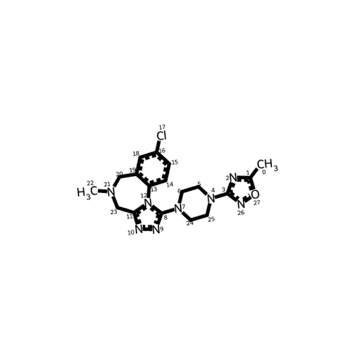 Cc1nc(N2CCN(c3nnc4n3-c3ccc(Cl)cc3CN(C)C4)CC2)no1